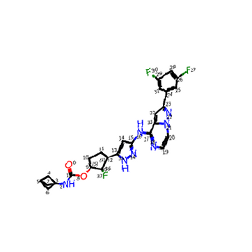 O=C(NC12CC(C1)C2)O[C@H]1CC[C@@H](c2cc(Nc3nccn4nc(-c5cc(F)cc(F)c5)cc34)n[nH]2)[C@H]1F